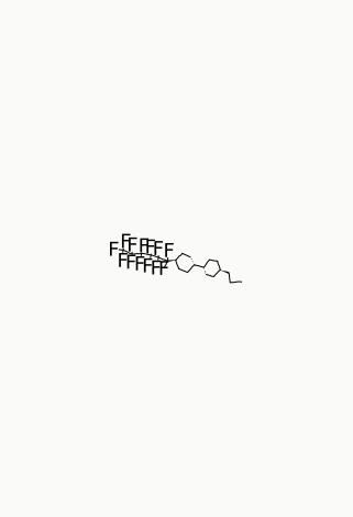 CCC[C@H]1CC[C@H]([C@H]2CC[C@H](C(F)(F)C(F)(F)C(F)(F)C(F)(F)C(F)(F)C(F)(F)F)CC2)CC1